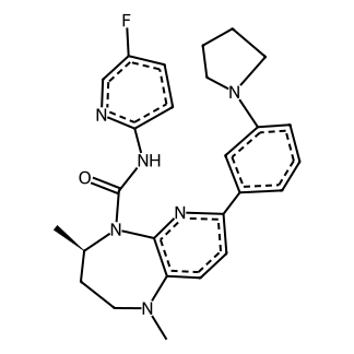 C[C@@H]1CCN(C)c2ccc(-c3cccc(N4CCCC4)c3)nc2N1C(=O)Nc1ccc(F)cn1